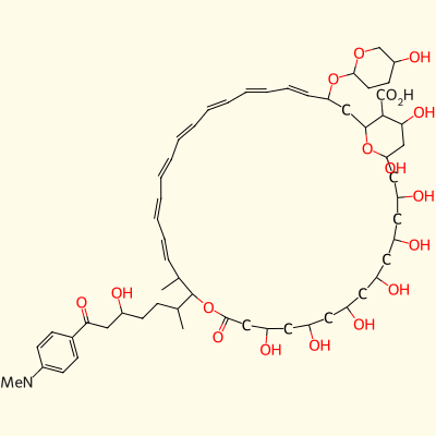 CNc1ccc(C(=O)CC(O)CCC(C)C2OC(=O)CC(O)CC(O)CC(O)CC(O)CC(O)CC(O)CC3(O)CC(O)C(C(=O)O)C(CC(OC4CCC(O)CO4)/C=C/C=C/C=C/C=C/C=C/C=C/C=C/C2C)O3)cc1